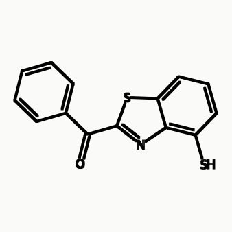 O=C(c1ccccc1)c1nc2c(S)cccc2s1